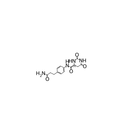 NC(=O)CCc1ccc(NC(=O)[C@@H]2CC(=O)NC(=O)N2)cc1